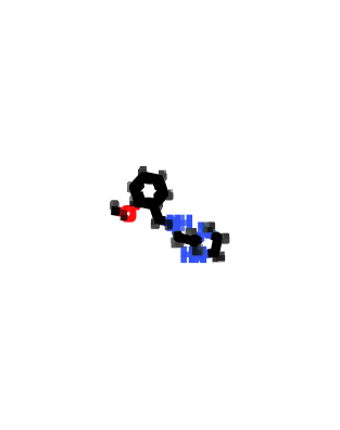 COc1ccccc1CNCC1=NCCN1